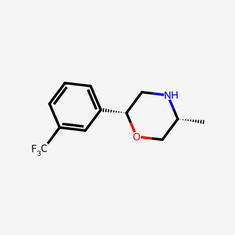 C[C@@H]1CO[C@H](c2cccc(C(F)(F)F)c2)CN1